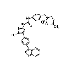 CN1CCN(Cc2ccc(NC(=O)Nc3cc(-c4ccc(-c5cnc6ccccn56)cc4)n(C)n3)cc2C(F)(F)F)CC1